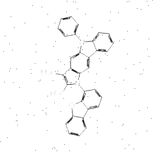 Cc1c(C)n(-c2cccc3c2oc2ccccc23)c2cc3c4ccccc4n(-c4ccccc4)c3cc12